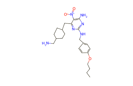 CCCCOc1ccc(CNc2nc(N)c([N+](=O)[O-])c(CC3CCC(CN)CC3)n2)cc1